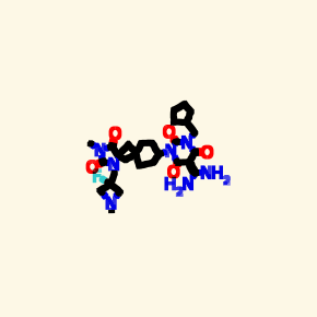 CN1CC(F)(CN2C(=O)N(C)C(=O)C23CC2(CCC(N4C(=O)C(=C(N)N)C(=O)N(CC5CCCC5)C4=O)CC2)C3)C1